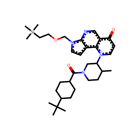 CC1CCN(C(=O)C2CCC(C(C)(C)C)CC2)CC1n1ccc(=O)c2cnc3c(ccn3COCC[Si](C)(C)C)c21